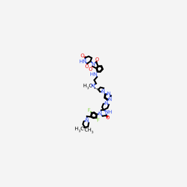 CN(CCCNc1cccc2c1C(=O)N(C1CCC(=O)NC1=O)C2=O)C[C@@H]1CCN(c2cc(N3CCC4(CC3)CN(c3cc(F)c(CN5CCC(C)(C)CC5)cc3F)CC(=O)N4)ncn2)C1